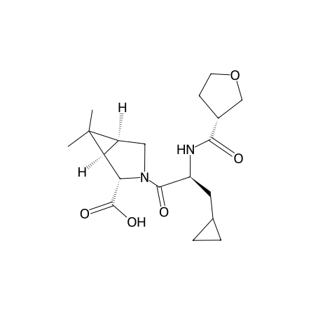 CC1(C)[C@@H]2[C@@H](C(=O)O)N(C(=O)[C@H](CC3CC3)NC(=O)[C@@H]3CCOC3)C[C@@H]21